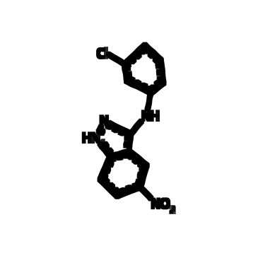 O=[N+]([O-])c1ccc2[nH]nc(Nc3cccc(Cl)c3)c2c1